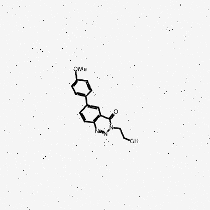 COc1ccc(-c2ccc3nnn(CCO)c(=O)c3c2)cc1